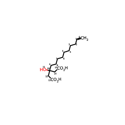 C=CCCCCCCCCC(O)(CC(=O)O)CC(=O)O